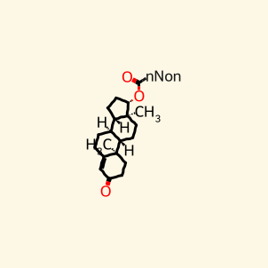 CCCCCCCCCC(=O)O[C@H]1CC[C@H]2[C@@H]3CCC4=CC(=O)CC[C@]4(C)[C@H]3CC[C@]12C